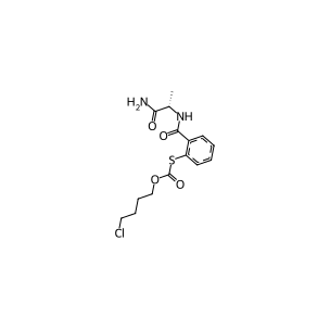 C[C@H](NC(=O)c1ccccc1SC(=O)OCCCCCl)C(N)=O